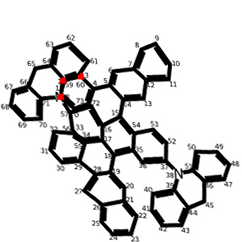 C1=CCCC(c2cc3ccccc3cc2-c2c3c(c(-c4cc5ccccc5cc4-c4ccccc4)c4cc(N5c6ccccc6Cc6ccccc65)ccc24)=CCC(N2c4ccccc4Cc4ccccc42)C=3)=C1